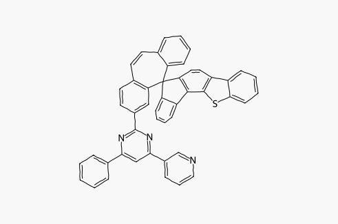 C1=Cc2ccc(-c3nc(-c4ccccc4)cc(-c4cccnc4)n3)cc2C2(c3ccccc31)c1ccccc1-c1c2ccc2c1sc1ccccc12